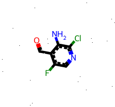 Nc1c(Cl)ncc(F)c1C=O